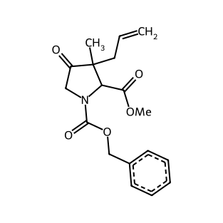 C=CCC1(C)C(=O)CN(C(=O)OCc2ccccc2)C1C(=O)OC